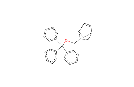 C1=CC2CC1CC2COC(c1ccccc1)(c1ccccc1)c1ccccc1